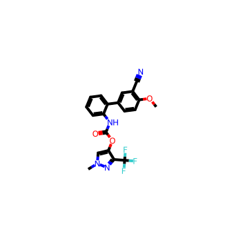 COc1ccc(-c2ccccc2NC(=O)Oc2cn(C)nc2C(F)(F)F)cc1C#N